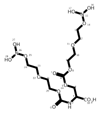 O=C(NC(COC(=O)OCCOCCON(O)O)C(=O)O)OCCOCCON(O)O